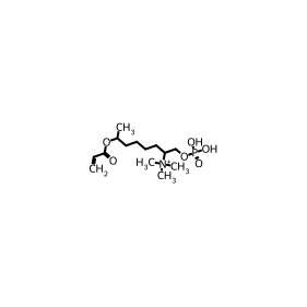 C=CC(=O)OC(C)CCCCC(COP(=O)(O)O)[N+](C)(C)C